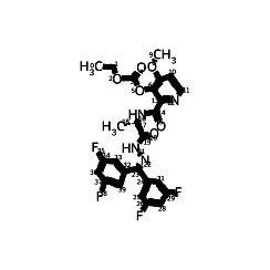 CCOC(=O)Oc1c(OC)ccnc1C(=O)N[C@@H](C)C(=O)NN=C(c1cc(F)cc(F)c1)c1cc(F)cc(F)c1